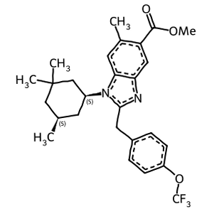 COC(=O)c1cc2nc(Cc3ccc(OC(F)(F)F)cc3)n([C@H]3C[C@@H](C)CC(C)(C)C3)c2cc1C